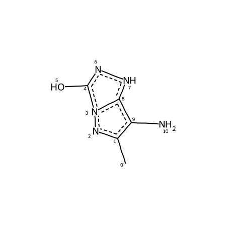 Cc1nn2c(O)n[nH]c2c1N